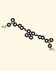 Cc1ccc(N2c3ccc(-c4ccc5cc(/C=C/c6ccc7c(c6)C6(c8ccccc8-c8ccccc86)c6cc(/C=C/c8ccc9cc(-c%10ccc%11c(c%10)c%10ccccc%10n%11-c%10ccc(C)cc%10)ccc9c8)ccc6-7)ccc5c4)cc3C3C=CC=CC32)cc1